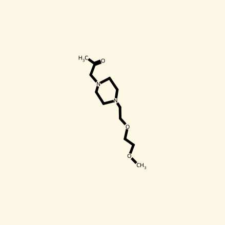 COCCOCCN1CCN(CC(C)=O)CC1